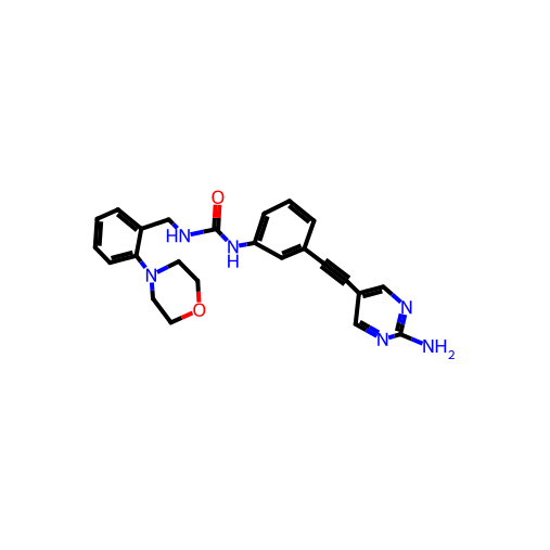 Nc1ncc(C#Cc2cccc(NC(=O)NCc3ccccc3N3CCOCC3)c2)cn1